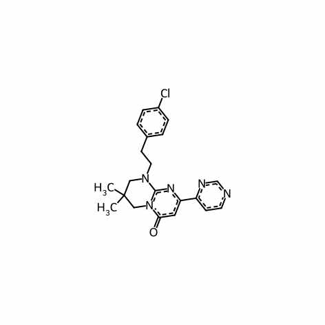 CC1(C)CN(CCc2ccc(Cl)cc2)c2nc(-c3ccncn3)cc(=O)n2C1